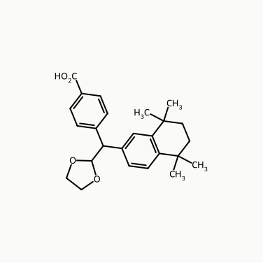 CC1(C)CCC(C)(C)c2cc(C(c3ccc(C(=O)O)cc3)C3OCCO3)ccc21